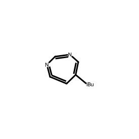 CCC(C)C1=CN=CN=C=C1